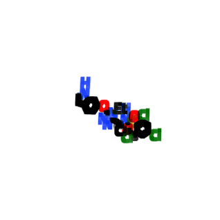 CCn1c(Oc2ccc3cc[nH]c3c2)nnc1[C@@H](C)NS(=O)(=O)c1c(Cl)cc(Cl)cc1Cl